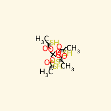 CC[C@H](S)C(=O)OCC(COC(=O)[C@@H](S)CC)(COC(=O)[C@@H](S)CC)COC(=O)[C@@H](S)CC